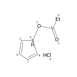 CCC(=O)O[SH]1C=CC=C1.Cl